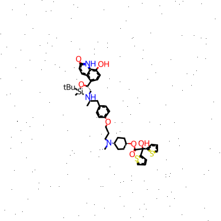 CC(Cc1ccc(OCCCN(C)[C@H]2CC[C@H](OC(=O)C(O)(c3cccs3)c3cccs3)CC2)cc1)NC[C@H](O[Si](C)(C)C(C)(C)C)c1ccc(O)c2[nH]c(=O)ccc12